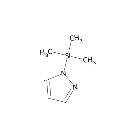 C[Si](C)(C)n1[c]ccn1